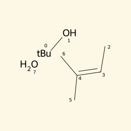 CC(C)(C)O.CC=C(C)C.O